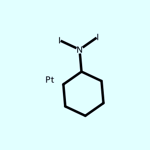 IN(I)C1CCCCC1.[Pt]